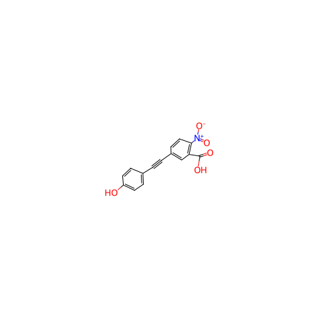 O=C(O)c1cc(C#Cc2ccc(O)cc2)ccc1[N+](=O)[O-]